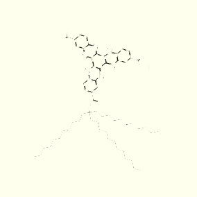 CCCCCCCCCCCCC(CCCCCCCCCCC)(CCCCCCCCCCCC)OC(=O)c1ccc2nc3c4nc5cc(C(=O)O)ccc5nc4c4nc5ccc(C(=O)O)cc5nc4c3nc2c1